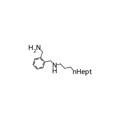 CCCCCCCCCCNCc1ccccc1CN